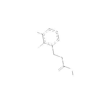 Bc1c(O)cccc1CCC(=O)OC